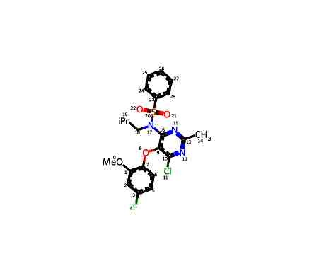 COc1cc(F)ccc1Oc1c(Cl)nc(C)nc1N(CC(C)C)S(=O)(=O)c1ccccc1